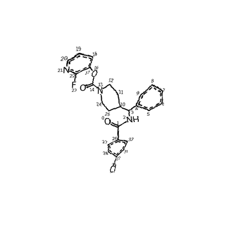 O=C(NC(c1ccccc1)C1CCN(C(=O)Oc2cccnc2F)CC1)c1ccc(Cl)cc1